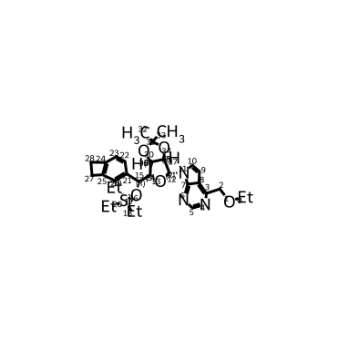 CCOCc1ncnc2c1ccn2[C@@H]1O[C@H]([C@H](O[Si](CC)(CC)CC)c2ccc3c(c2)CC3)[C@H]2OC(C)(C)O[C@H]21